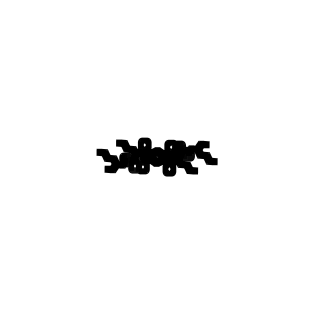 CCCCC(CC)COC(=O)C(CCCC)n1c(=O)c2cc3c(=O)n(C(CCCC)C(=O)OCC(CC)CCCC)c(=O)c3cc2c1=O